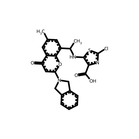 Cc1cc(C(C)Nc2sc(Cl)nc2C(=O)O)c2oc(N3Cc4ccccc4C3)cc(=O)c2c1